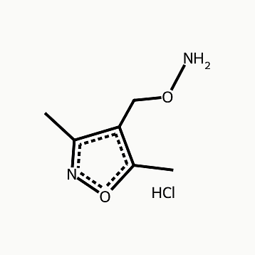 Cc1noc(C)c1CON.Cl